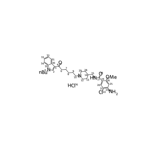 CCCCn1cc(C(=O)CCCCCN2CCC(CNC(=O)c3cc(Cl)c(N)cc3OC)CC2)c2ccccc21.Cl